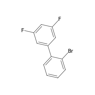 Fc1cc(F)cc(-c2ccccc2Br)c1